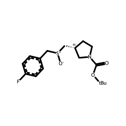 CC(C)(C)OC(=O)N1CC[C@@H](C[S+]([O-])Cc2ccc(F)cc2)C1